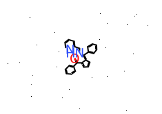 O=C(C1=CC=C/C1=C(/NCc1ccccn1)c1ccccc1)c1ccccc1